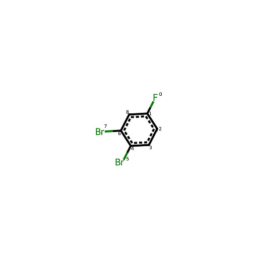 Fc1[c]cc(Br)c(Br)c1